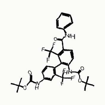 CC(C)(C)OC(=O)Nc1ccc(-c2c(NC(=O)OC(C)(C)C)ccc(C(=O)Nc3ccccc3)c2C(F)(F)F)c(C(F)(F)F)c1